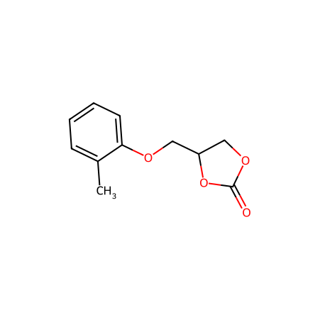 Cc1ccccc1OCC1COC(=O)O1